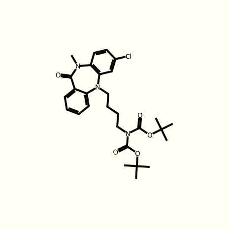 CN1C(=O)c2ccccc2N(CCCCN(C(=O)OC(C)(C)C)C(=O)OC(C)(C)C)c2cc(Cl)ccc21